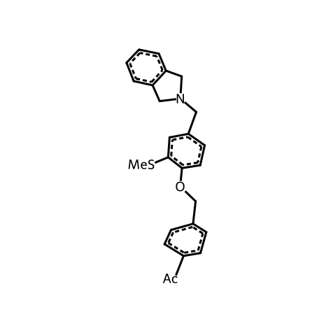 CSc1cc(CN2Cc3ccccc3C2)ccc1OCc1ccc(C(C)=O)cc1